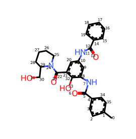 Cc1ccc(C(=O)Nc2cc(NC(=O)c3ccccc3)cc(C(=O)N3CCCCC3CO)c2O)cc1